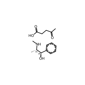 CC(=O)CCC(=O)O.CN[C@@H](C)[C@H](O)c1ccccc1